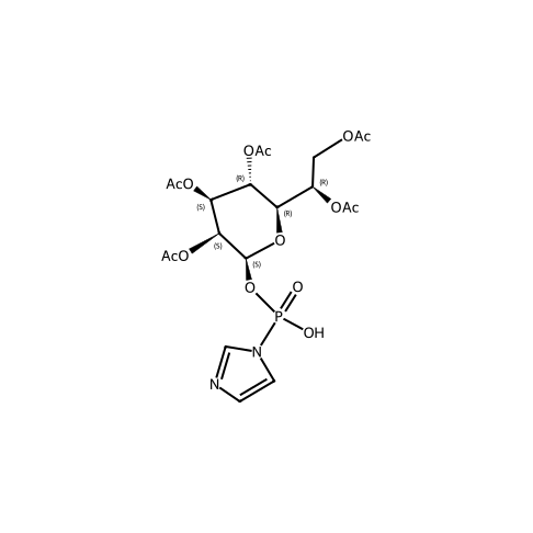 CC(=O)OC[C@@H](OC(C)=O)[C@H]1O[C@@H](OP(=O)(O)n2ccnc2)[C@@H](OC(C)=O)[C@@H](OC(C)=O)[C@@H]1OC(C)=O